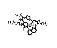 COc1nc(N(C)C2CCN(C(=O)C=C3CN(C)C3)C2)c2cnc(-c3cccc4ccc(F)c(F)c34)c(F)c2n1